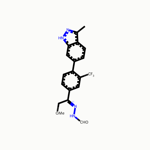 COC/C(=N\NC=O)c1ccc(-c2ccc3c(C)n[nH]c3c2)c(C(F)(F)F)c1